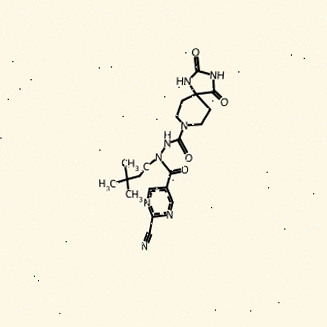 CC(C)(C)CCN(NC(=O)N1CCC2(CC1)NC(=O)NC2=O)C(=O)c1cnc(C#N)nc1